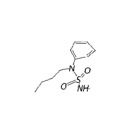 CCCCN(c1ccccc1)S([NH])(=O)=O